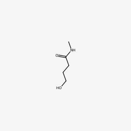 CNC(=O)CCCO